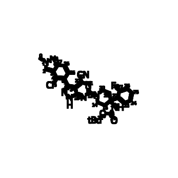 Cn1cc2c(Cl)c(-c3n[nH]c4nc(N5CCC(NC(=O)OC(C)(C)C)(c6ccccc6F)CC5)nc(C#N)c34)ccc2n1